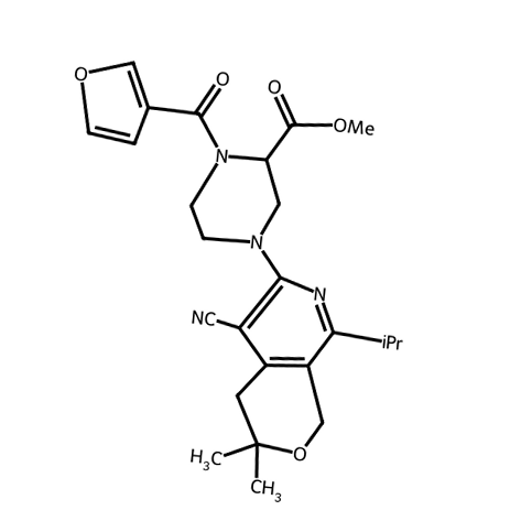 COC(=O)C1CN(c2nc(C(C)C)c3c(c2C#N)CC(C)(C)OC3)CCN1C(=O)c1ccoc1